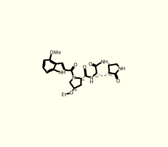 CCO[C@@H]1C[C@@H](C(=O)N[C@@H](C[C@@H]2CCNC2=O)C(N)=O)N(C(=O)c2cc3c(OC)cccc3[nH]2)C1